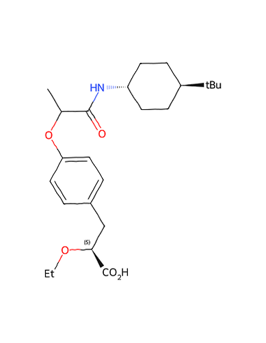 CCO[C@@H](Cc1ccc(OC(C)C(=O)N[C@H]2CC[C@H](C(C)(C)C)CC2)cc1)C(=O)O